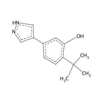 CC(C)(C)c1ccc(-c2cn[nH]c2)cc1O